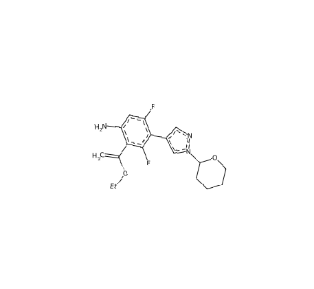 C=C(OCC)c1c(N)cc(F)c(-c2cnn(C3CCCCO3)c2)c1F